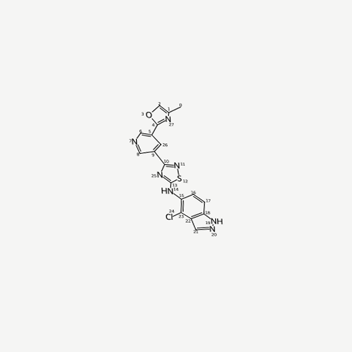 Cc1coc(-c2cncc(-c3nsc(Nc4ccc5[nH]ncc5c4Cl)n3)c2)n1